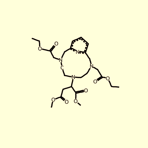 CCOC(=O)CN1CCN(C(CC(=O)OC)C(=O)OC)CCN(CC(=O)OCC)Cc2cccc(n2)C1